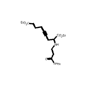 CCCCCCC(=O)CCNC(CC#CCCCC(=O)OCC)C(=O)OCC